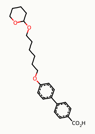 O=C(O)c1ccc(-c2ccc(OCCCCCCOC3CCCCO3)cc2)cc1